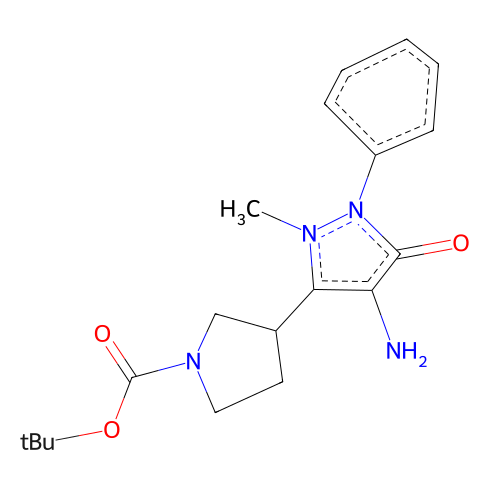 Cn1c(C2CCN(C(=O)OC(C)(C)C)C2)c(N)c(=O)n1-c1ccccc1